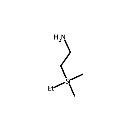 CC[Si](C)(C)CCN